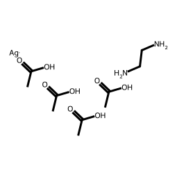 CC(=O)O.CC(=O)O.CC(=O)O.CC(=O)O.NCCN.[Ag]